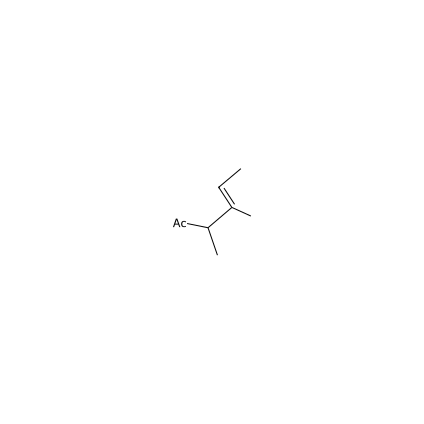 CC=C(C)C(C)C(C)=O